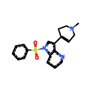 CN1CC=C(c2cn(S(=O)(=O)c3ccccc3)c3cccnc23)CC1